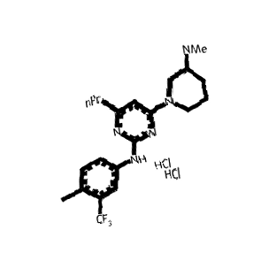 CCCc1cc(N2CCCC(NC)C2)nc(Nc2ccc(C)c(C(F)(F)F)c2)n1.Cl.Cl